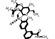 CC[C@H]1O[C@H](Oc2ccc(-c3cccc(C(=O)NC)c3)cc2C)[C@@](CN=[N+]=[N-])(OC(C)=O)[C@@H](OC(C)=O)[C@@H]1C